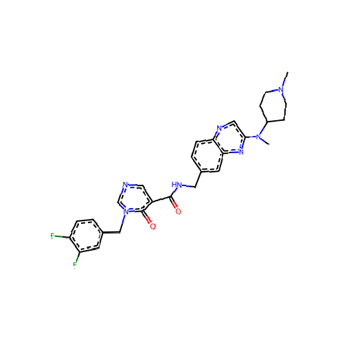 CN1CCC(N(C)c2cnc3ccc(CNC(=O)c4cncn(Cc5ccc(F)c(F)c5)c4=O)cc3n2)CC1